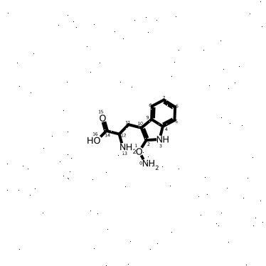 NOc1[nH]c2ccccc2c1CC(N)C(=O)O